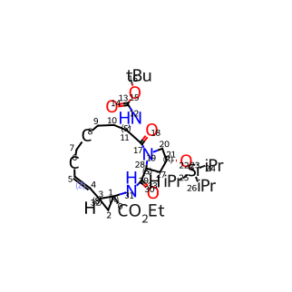 CCOC(=O)[C@@]12C[C@H]1/C=C\CCCCC[C@H](NC(=O)OC(C)(C)C)C(=O)N1C[C@H](O[Si](C(C)C)(C(C)C)C(C)C)C[C@H]1C(=O)N2